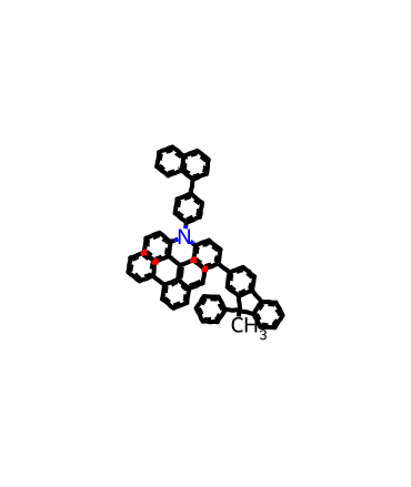 CC1(c2ccccc2)c2ccccc2-c2ccc(-c3ccc(N(c4ccc(-c5cccc6ccccc56)cc4)c4ccccc4C4=c5c(-c6ccccc6)cccc5=CCC4)cc3)cc21